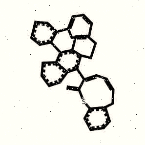 C=C1Sc2ccccc2C/C=C\C=C/1c1c2c(c(-c3ccccc3C3=CC=CCC3)c3ccccc13)C=CCC2